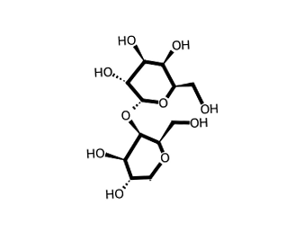 OC[C@H]1O[C@H](O[C@@H]2[C@H](O)[C@@H](O)[CH]O[C@@H]2CO)[C@H](O)[C@@H](O)[C@H]1O